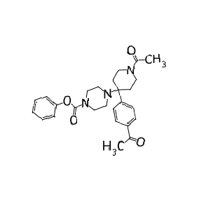 CC(=O)c1ccc(C2(N3CCN(C(=O)Oc4ccccc4)CC3)CCN(C(C)=O)CC2)cc1